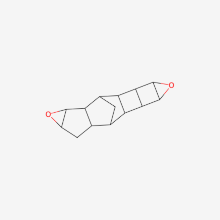 C1C2OC2C2C1C1CC2C2C1C1C3OC3C21